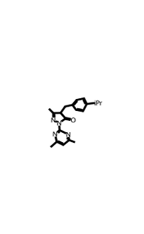 CC1=NN(c2nc(C)cc(C)n2)C(=O)C1Cc1ccc(C(C)C)cc1